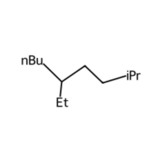 CC[CH]CC(CC)CCC(C)C